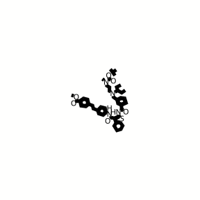 CCC(CC)N(CCCN(C)C(=O)OC(C)(C)C)Cc1cccc(C(=O)Nc2sc3c(c2C(=O)Nc2ccc(CCc4ccc(C(=O)OC)cc4)cc2)CCCC3)c1